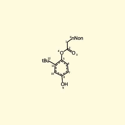 CCCCCCCCCCC(=O)Oc1ccc(O)cc1C(C)(C)C